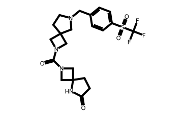 O=C1CCC2(CN(C(=O)N3CC4(CCN(Cc5ccc(S(=O)(=O)C(F)(F)F)cc5)C4)C3)C2)N1